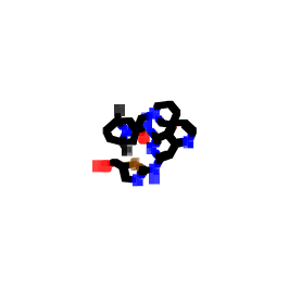 O=C(CN1CCCCC1)N1[C@@H]2CC[C@H]1C[C@H](Nc1nc(Nc3ncc(CO)s3)cc3ncccc13)C2